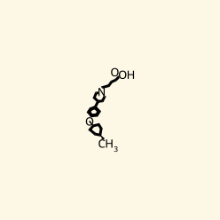 CC[C@H]1CC[C@@H](Oc2ccc(C3CCN(CCCCC(=O)O)CC3)cc2)CC1